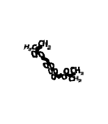 C=CC(=C)C(=O)OCCC(=O)OC(=O)OC(=O)CCOC(=O)C(=C)C=C